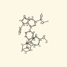 COC(=O)c1cc(-c2ccc(N3CC4CC(C3)N4Cc3ccc(OC)nc3)nc2)c2c(C#N)cnn2c1